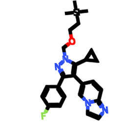 C[Si](C)(C)CCOCn1nc(-c2ccc(F)cc2)c(-c2ccc3nccn3c2)c1C1CC1